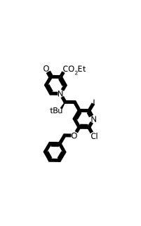 CCOC(=O)c1cn([C@@H](Cc2cc(OCc3ccccc3)c(Cl)nc2I)C(C)(C)C)ccc1=O